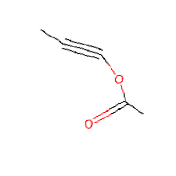 CC#COC(C)=O